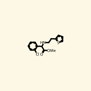 COC(=O)C(NCCc1cccs1)c1ccccc1Cl